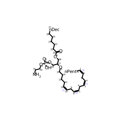 CCCCC/C=C\C/C=C\C/C=C\C/C=C\CCCCOC(COC(=O)CCCCCCCCCCCCCCC)COP(=O)(O)OCCN